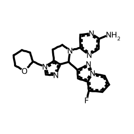 Nc1cnc(N2CCc3c(ncn3C3CCCCO3)C2c2cc3c(F)cccn3n2)cn1